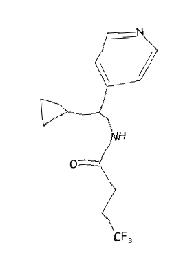 O=C(CCC(F)(F)F)NC(c1ccncc1)C1CC1